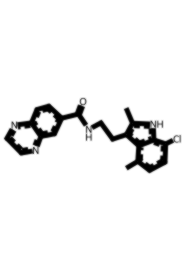 Cc1[nH]c2c(Cl)ccc(C)c2c1CCNC(=O)c1ccc2nccnc2c1